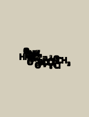 COc1cc2c(cc1Cl)CN(C(=O)CCC1(C3CC3)NC(=O)NC1=O)C2